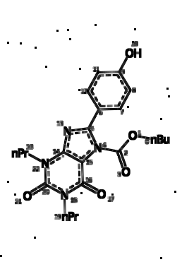 CCCCOC(=O)n1c(-c2ccc(O)cc2)nc2c1c(=O)n(CCC)c(=O)n2CCC